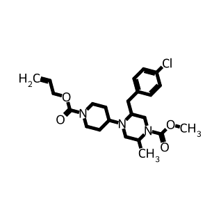 C=CCOC(=O)N1CCC(N2CC(C)N(C(=O)OC)CC2Cc2ccc(Cl)cc2)CC1